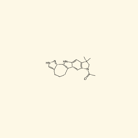 CC(=O)N1CC(C)(C)c2cc3[nH]c4c(c3cc21)CCCc1c[nH]nc1-4